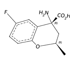 C[C@@H]1C[C@](N)(C(=O)O)c2cc(F)ccc2O1